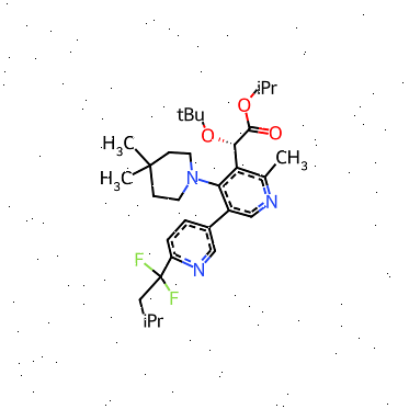 Cc1ncc(-c2ccc(C(F)(F)CC(C)C)nc2)c(N2CCC(C)(C)CC2)c1[C@H](OC(C)(C)C)C(=O)OC(C)C